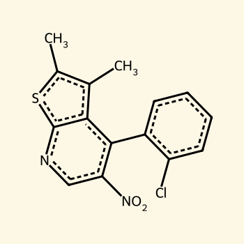 Cc1sc2ncc([N+](=O)[O-])c(-c3ccccc3Cl)c2c1C